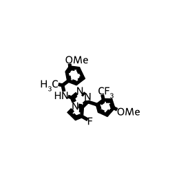 COc1cccc(C(C)Nc2nnc(-c3ccc(OC)cc3C(F)(F)F)c3c(F)ccn23)c1